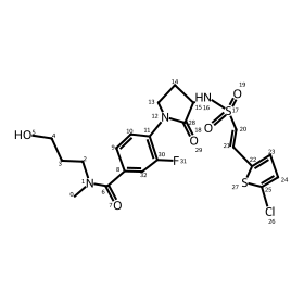 CN(CCCO)C(=O)c1ccc(N2CCC(NS(=O)(=O)C=Cc3ccc(Cl)s3)C2=O)c(F)c1